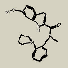 COc1ccc2cc(C(=O)N(C)Cc3ccccc3N3CCCC3)[nH]c2c1